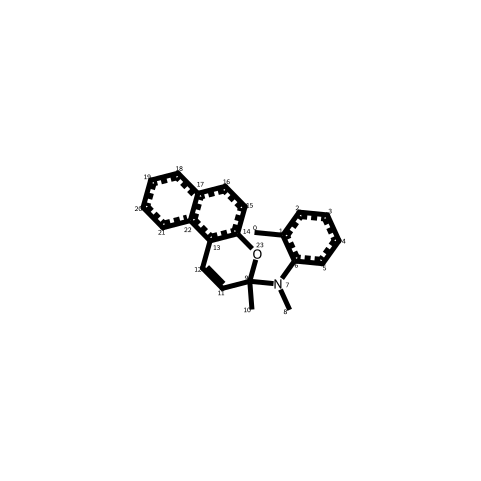 Cc1ccccc1N(C)C1(C)C=Cc2c(ccc3ccccc23)O1